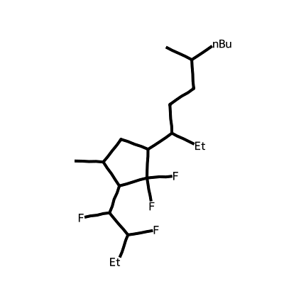 CCCCC(C)CCC(CC)C1CC(C)C(C(F)C(F)CC)C1(F)F